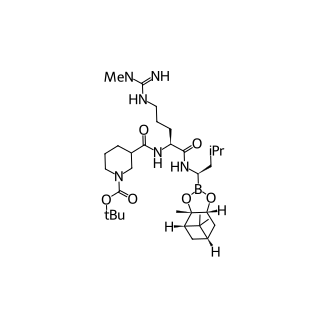 CNC(=N)NCCC[C@H](NC(=O)C1CCCN(C(=O)OC(C)(C)C)C1)C(=O)N[C@@H](CC(C)C)B1O[C@@H]2C[C@@H]3C[C@@H](C3(C)C)[C@]2(C)O1